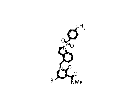 CNC(=O)c1cc(Br)cn(Cc2cccc3c2ccn3S(=O)(=O)c2ccc(C)cc2)c1=O